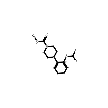 CC(C)(C)OC(=O)N1CCN(C2=CC[CH]C=C2OC(F)F)CC1